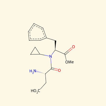 COC(=O)[C@H](Cc1ccccc1)N(C(=O)[C@@H](N)CC(=O)O)C1CC1